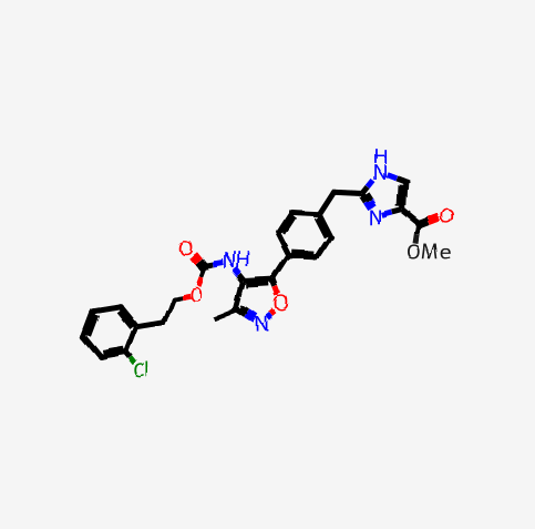 COC(=O)c1c[nH]c(Cc2ccc(-c3onc(C)c3NC(=O)OCCc3ccccc3Cl)cc2)n1